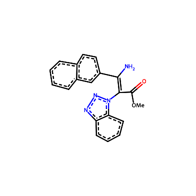 COC(=O)C(=C(N)c1ccc2ccccc2c1)n1nnc2ccccc21